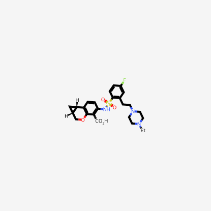 CCN1CCN(CCc2cc(F)ccc2S(=O)(=O)Nc2ccc3c(c2C(=O)O)OC[C@@H]2C[C@H]32)CC1